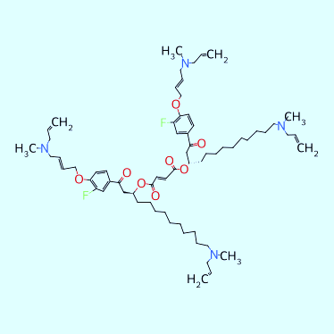 C=CCN(C)C/C=C/COc1ccc(C(=O)C[C@H](CCCCCCCCCCN(C)CC=C)OC(=O)/C=C/C(=O)O[C@@H](CCCCCCCCCCN(C)CC=C)CC(=O)c2ccc(OC/C=C/CN(C)CC=C)c(F)c2)cc1F